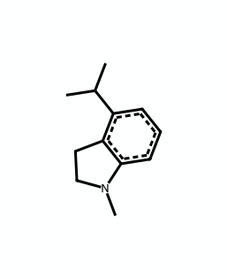 CC(C)c1cccc2c1CCN2C